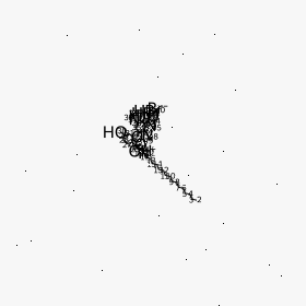 Br.Br.CCCCCCCCCCCCCCCC[N+](C)(C)C.O.O=C(O)c1ccc(O)cc1.O=C1C=C(N2CC2)C(=O)C(N2CC2)=C1N1CC1.[Br-]